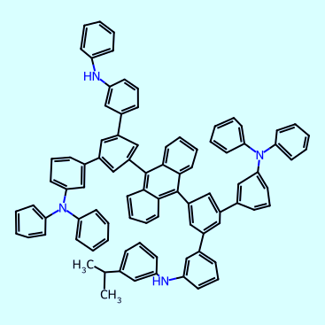 CC(C)c1cccc(Nc2cccc(-c3cc(-c4cccc(N(c5ccccc5)c5ccccc5)c4)cc(-c4c5ccccc5c(-c5cc(-c6cccc(Nc7ccccc7)c6)cc(-c6cccc(N(c7ccccc7)c7ccccc7)c6)c5)c5ccccc45)c3)c2)c1